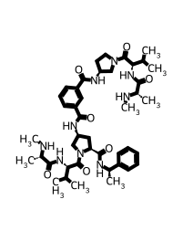 CN[C@@H](C)C(=O)N[C@H](C(=O)N1CC[C@H](NC(=O)c2cccc(C(=O)N[C@H]3C[C@@H](C(=O)N[C@H](C)c4ccccc4)N(C(=O)[C@@H](NC(=O)[C@H](C)NC)C(C)C)C3)c2)C1)C(C)C